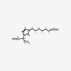 CCCCCCCCCCCCCCCCn1cc[n+](C(C)CCCCCC)c1